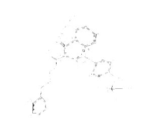 CS(=O)(=O)c1cccc2c1c(=O)c(C(=O)SCCCc1ccccc1)nn2-c1ccc(OC(F)(F)F)cc1